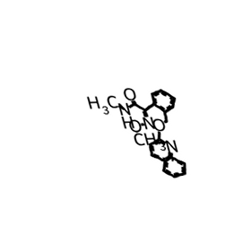 CNC(=O)C(=NOC)c1ccccc1COc1ccc2ccccc2n1